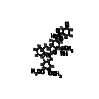 COc1ccc(CNC2Oc3c(C(C)=N)cc(NS(=O)(=O)c4cccc(Cl)c4)cc3C2CC2CCCCC2)cc1OC